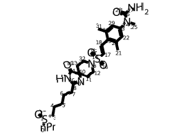 CCC[S+]([O-])CCCCCC1=NC2(CCN(S(=O)(=O)C=Cc3c(C)cc(N(C)C(N)=O)cc3C)CC2)C(=O)N1